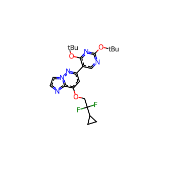 CC(C)(C)Oc1ncc(-c2cc(OCC(F)(F)C3CC3)c3nccn3n2)c(OC(C)(C)C)n1